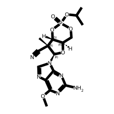 COc1nc(N)nc2c1ncn2[C@@H]1O[C@@H]2COP(=O)(OC(C)C)O[C@H]2[C@@]1(C)C#N